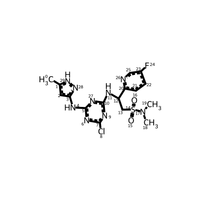 Cc1cc(Nc2nc(Cl)nc(NC(CS(=O)(=O)N(C)C)c3ccc(F)cn3)n2)n[nH]1